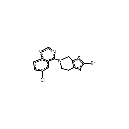 Clc1ccc2ncnc(N3CCc4nc(Br)sc4C3)c2c1